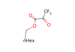 CCCCCCCOC(=O)C(=O)C(F)(F)F